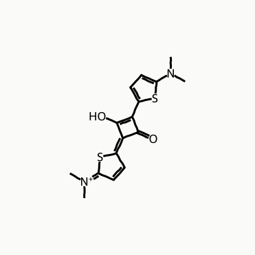 CN(C)c1ccc(C2=C(O)/C(=C3/C=CC(=[N+](C)C)S3)C2=O)s1